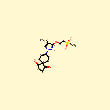 CCOC(=O)c1cn(C2CCC3(CC2)C(=O)CCC3=O)nc1OCCS(C)(=O)=O